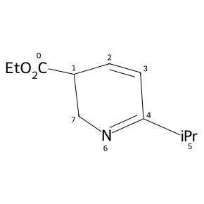 CCOC(=O)C1C=CC(C(C)C)=NC1